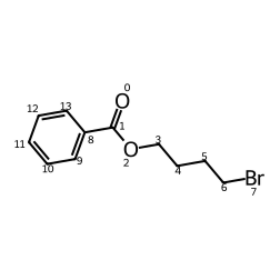 O=C(OCCCCBr)c1ccccc1